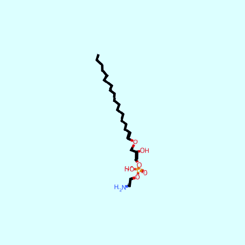 CCCCCCCCCCCCCCCC/C=C/OC/C(O)=C/OP(=O)(O)OCCN